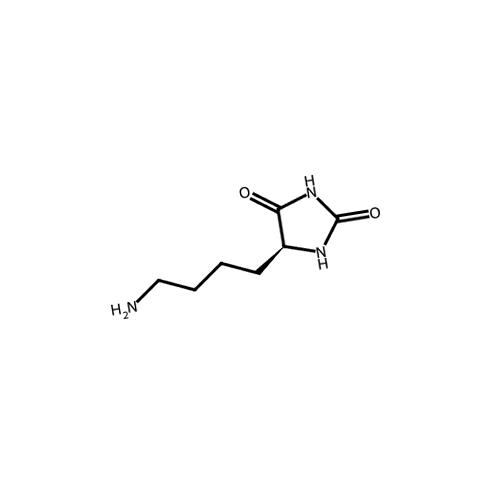 NCCCC[C@@H]1NC(=O)NC1=O